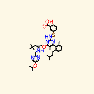 Cc1cccc(CCC(C)C)c1-c1nc(NSc2cccc(C(=O)O)c2)nc(OC[C@@H](CC(C)(C)C)NCc2ncc(OC(C)C)cn2)c1C